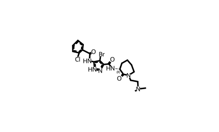 CN(C)CCN1CCCC[C@@H](NC(=O)c2n[nH]c(NC(=O)c3ccccc3Cl)c2Br)C1=O